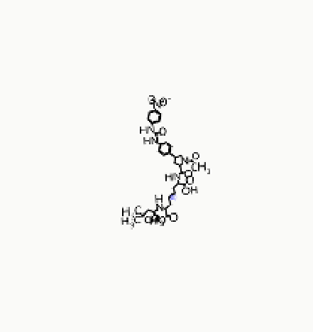 CC(=O)N1CC(c2ccc(NC(=O)Nc3ccc([N+](=O)[O-])cc3)cc2)CC1C(=O)NC(C/C=C/CC(NC(=O)CC(C)(C)C)C(=O)O)C(=O)O